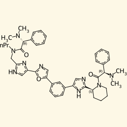 CCCN(Cc1nc(-c2ncc(-c3cccc(-c4cnc([C@@H]5CCCCN5C(=O)[C@@H](c5ccccc5)N(C)C)[nH]4)c3)o2)c[nH]1)C(=O)[C@@H](c1ccccc1)N(C)C